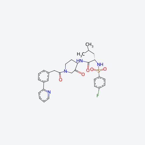 CC(C)C[C@H](NS(=O)(=O)c1ccc(F)cc1)C(=O)NC1CCN(C(=O)Cc2cccc(-c3ccccn3)c2)CC1=O